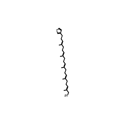 C/C(=C\CC/C(C)=C/CC/C(C)=C/CCc1ccsc1)CC/C=C(\C)CC/C=C(\C)CC(C)C